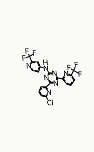 FC(F)(F)c1cc(Nc2nc(-c3cccc(Cl)n3)nc(-c3cccc(C(F)(F)F)n3)n2)ccn1